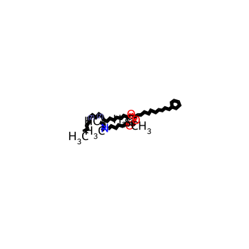 C#CCN(C)CCCCCCO[Si](C)(C)OC(CCCCCCCCCCC1CCCCC1)OCCCCCCCC/C=C\C/C=C\CCCCC